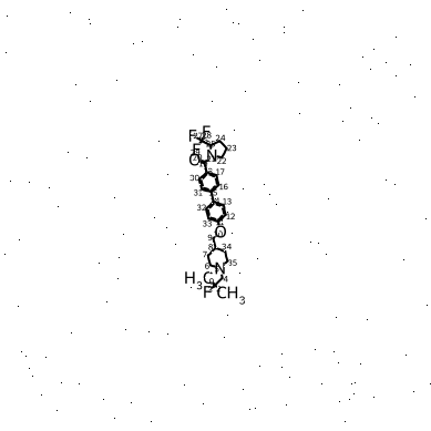 CC(C)(F)CN1CCC(COc2ccc(-c3ccc(C(=O)N4CCCC4C(F)(F)F)cc3)cc2)CC1